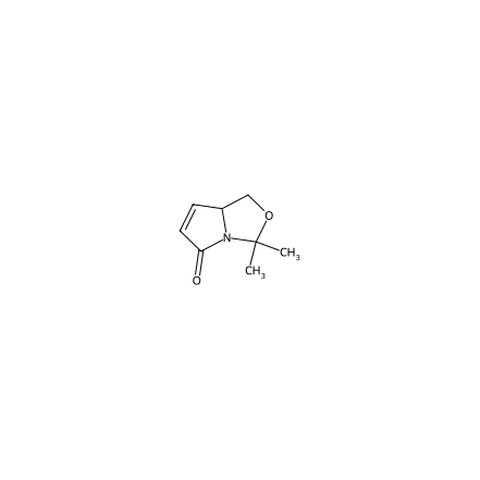 CC1(C)OCC2C=CC(=O)N21